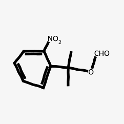 CC(C)(OC=O)c1ccccc1[N+](=O)[O-]